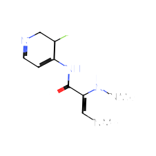 CN/C=C(\NNC)C(=O)NC1=CC=NCC1F